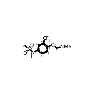 CNCOc1ccc(NS(C)(=O)=O)cc1C(F)(F)F